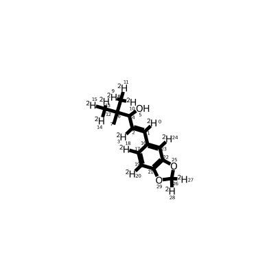 [2H]/C(=C(/[2H])C(O)C(C)(C([2H])([2H])[2H])C([2H])([2H])[2H])c1c([2H])c([2H])c2c(c1[2H])OC([2H])([2H])O2